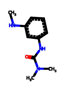 CNc1cccc(NC(=O)N(C)C)c1